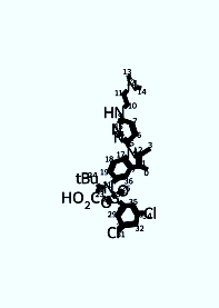 Cc1c(C)n(-c2ccc(NCCN(C)C)nn2)c2ccc(N(C(C(=O)O)C(C)(C)C)S(=O)(=O)c3cc(Cl)cc(Cl)c3)cc12